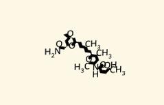 CC(/C=C/[C@@H]1C[C@@]2(CO2)C[C@@H](CC(N)=O)O1)=C\C[C@@H]1O[C@H](C)[C@H](NC(=O)/C=C\[C@H](C)O)C[C@@H]1C